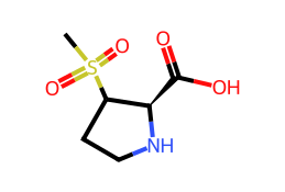 CS(=O)(=O)C1CCN[C@@H]1C(=O)O